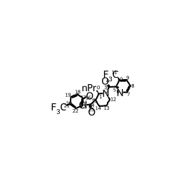 CCC[C@H]1N(C(=O)c2ncccc2C(F)(F)F)CCC[C@@]1(Oc1ccc(C(F)(F)F)cc1)C(=O)Cl